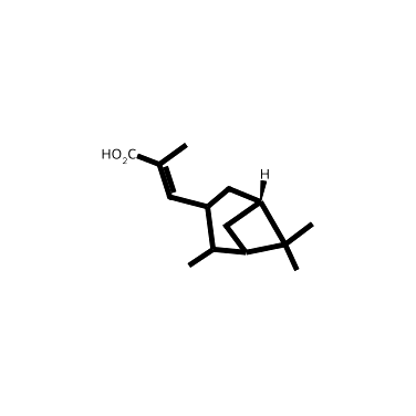 CC(=CC1C[C@H]2CC(C1C)C2(C)C)C(=O)O